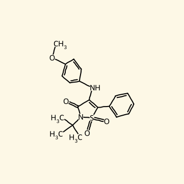 COc1ccc(NC2=C(c3ccccc3)S(=O)(=O)N(C(C)(C)C)C2=O)cc1